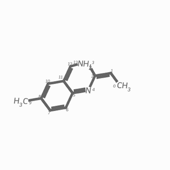 C\C=C(I)/N=C1/C=CC(C)=C/C1=C/N